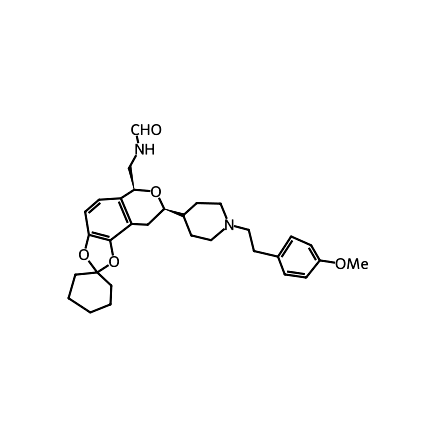 COc1ccc(CCN2CCC([C@H]3Cc4c(ccc5c4OC4(CCCCC4)O5)[C@@H](CNC=O)O3)CC2)cc1